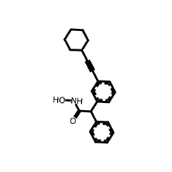 O=C(NO)C(c1ccccc1)c1cccc(C#CC2CCCCC2)c1